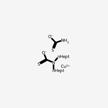 CCCCCCCN(CCCCCCC)C([O-])=S.NC([O-])=S.[Cu+2]